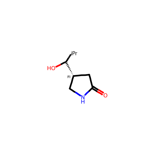 CC(C)C(O)[C@H]1CNC(=O)C1